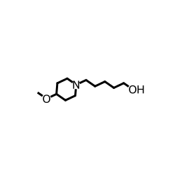 COC1CCN(CCCCCO)CC1